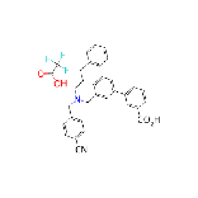 N#Cc1ccc(CN(CCCc2ccccc2)Cc2cccc(-c3cccc(C(=O)O)c3)c2)cc1.O=C(O)C(F)(F)F